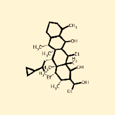 CCC(O)C1C(O)C2(C)C(CC)C3C(O)C4C(C)CCCC4[C@@H](C)[C@]3(C)[C@@H](CC(C)C3CC3)[C@]2(C)[C@@H](CC)[C@H]1C